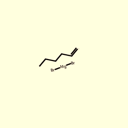 [Br][Mg][Br].[CH]=CCCCC